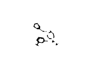 CC(C)(C)OC(=O)N1CCC(=O)N(OCc2ccccc2)C[C@H]1Cc1cccc(C(F)(F)F)c1